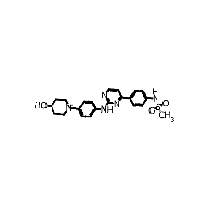 CS(=O)(=O)Nc1ccc(-c2ccnc(Nc3ccc(N4CCC(O)CC4)cc3)n2)cc1